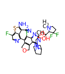 CC(O)CN1CC2CCC(C1)N2c1nc(OCC2N(C)CCC2(F)F)nc2c(F)c(-c3ncc(F)c4sc(N)c(C#N)c34)c3c(c12)COC3